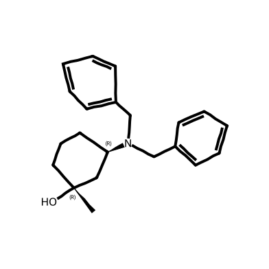 C[C@@]1(O)CCC[C@@H](N(Cc2ccccc2)Cc2ccccc2)C1